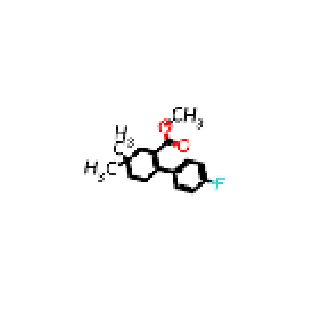 COC(=O)C1=C(c2ccc(F)cc2)CCC(C)(C)C1